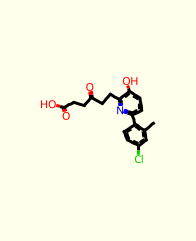 Cc1cc(Cl)ccc1-c1ccc(O)c(CCC(=O)CCC(=O)O)n1